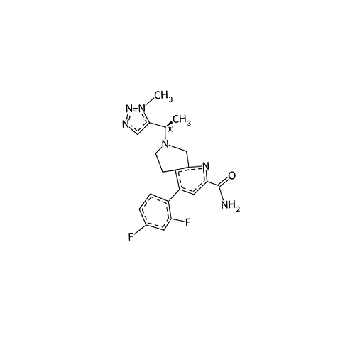 C[C@H](c1cnnn1C)N1CCc2c(-c3ccc(F)cc3F)cc(C(N)=O)nc2C1